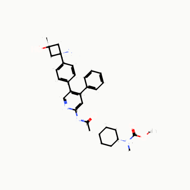 CC(C)OC(=O)N(C)[C@H]1CC[C@H](CC(=O)Nc2cc(-c3ccccc3)c(-c3ccc([C@]4(N)C[C@](C)(O)C4)cc3)cn2)CC1